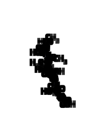 COc1cc(/N=N/c2c(S(=O)(=O)O)cc3cc(/N=N/C4C(=O)N(c5ccc(S(=O)(=O)O)cc5)N=C4C(=O)O)ccc3c2O)c(OC)cc1/N=N/c1ccc(NC(C)=O)cc1S(=O)(=O)O